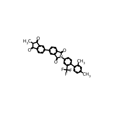 Cc1ccc(-c2ccc(N3C(=O)c4ccc(-c5ccc6c(c5)C(=O)C(C)C6=O)cc4C3=O)cc2C(F)(F)F)c(C)c1